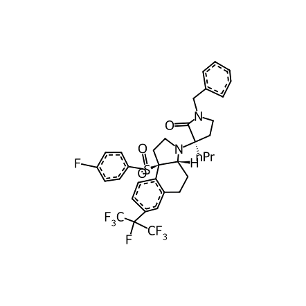 CCC[C@@]1(N2CC[C@@]3(S(=O)(=O)c4ccc(F)cc4)c4ccc(C(F)(C(F)(F)F)C(F)(F)F)cc4CC[C@@H]23)CCN(Cc2ccccc2)C1=O